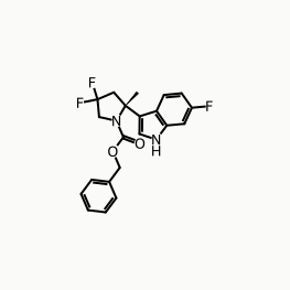 C[C@]1(c2c[nH]c3cc(F)ccc23)CC(F)(F)CN1C(=O)OCc1ccccc1